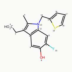 Cc1c(CC(=O)O)c2cc(O)c(F)cc2n1Cc1cccs1